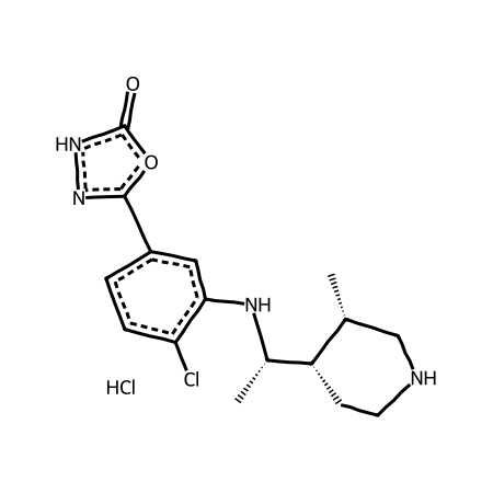 C[C@@H]1CNCC[C@@H]1[C@H](C)Nc1cc(-c2n[nH]c(=O)o2)ccc1Cl.Cl